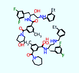 CCc1cccc(CNC[C@@H](O)[C@H](Cc2cc(F)cc(F)c2)NC(=O)c2cc(C)cc(C(=O)N3CCC(O)CC3)c2)c1.CCc1cccc(CNC[C@@H](O)[C@H](Cc2cc(F)cc(F)c2)NC(=O)c2cc(C)cc(C(=O)N3CCCCCC3)c2)c1